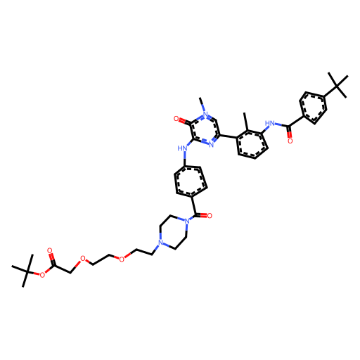 Cc1c(NC(=O)c2ccc(C(C)(C)C)cc2)cccc1-c1cn(C)c(=O)c(Nc2ccc(C(=O)N3CCN(CCOCCOCC(=O)OC(C)(C)C)CC3)cc2)n1